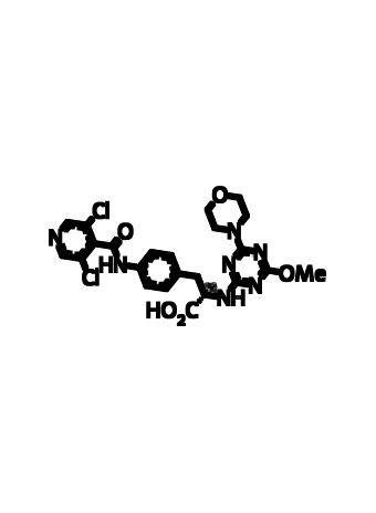 COc1nc(N[C@@H](Cc2ccc(NC(=O)c3c(Cl)cncc3Cl)cc2)C(=O)O)nc(N2CCOCC2)n1